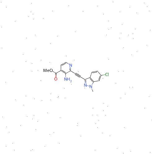 COC(=O)c1ccnc(C#Cc2nn(C)c3cc(Cl)ccc23)c1N